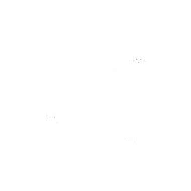 COC(=O)c1cc(O)cc(C(=O)O)c1C